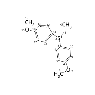 CC[S+](c1ccc(OC)cc1)c1ccc(OC)cc1